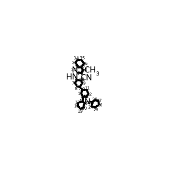 Cc1c(C#N)c(Nc2ccc(-c3ccc4c(c3)c3ccccc3n4-c3ccccc3)cc2)nc2ccccc12